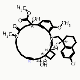 COC(=O)[C@@]1(O)CC(=O)N(C)CCC/C=C\[C@H](O)[C@@H]2CC[C@H]2CN(C[C@]2(C)CCCc3cc(Cl)ccc32)c2cc1ccc2OC